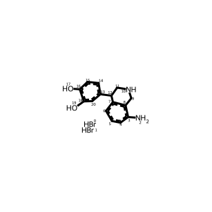 Br.Br.Nc1cccc2c1CNCC2c1ccc(O)c(O)c1